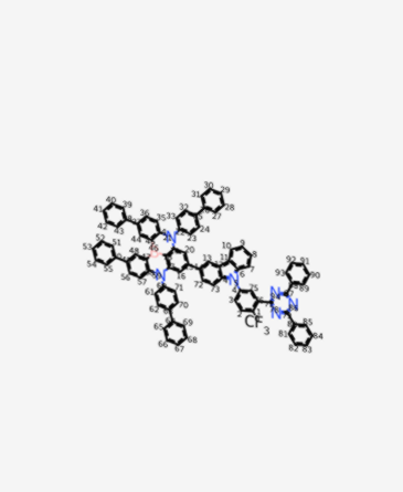 FC(F)(F)c1ccc(-n2c3ccccc3c3cc(-c4cc5c6c(c4)N(c4ccc(-c7ccccc7)cc4)c4ccc(-c7ccccc7)cc4B6c4cc(-c6ccccc6)ccc4N5c4ccc(-c5ccccc5)cc4)ccc32)cc1-c1nc(-c2ccccc2)nc(-c2ccccc2)n1